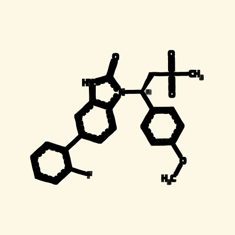 COc1ccc([C@H](CS(C)(=O)=O)n2c(=O)[nH]c3cc(-c4ccccc4F)ccc32)cc1